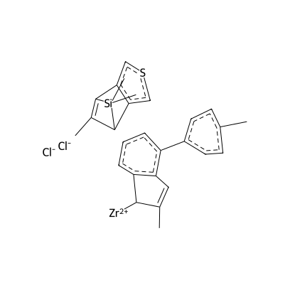 CC1=C2c3cscc3C1[Si]2(C)C.CC1=Cc2c(-c3ccc(C)cc3)cccc2[CH]1[Zr+2].[Cl-].[Cl-]